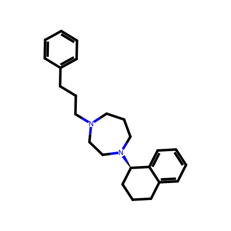 c1ccc(CCCN2CCCN([C@@H]3CCCc4ccccc43)CC2)cc1